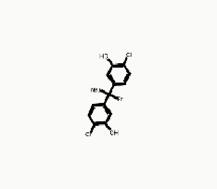 CCCCC(CC)(c1ccc(Cl)c(O)c1)c1ccc(Cl)c(O)c1